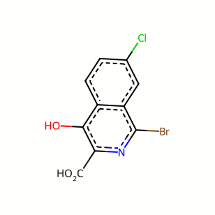 O=C(O)c1nc(Br)c2cc(Cl)ccc2c1O